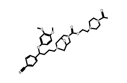 COc1ccc(OC(CCCN2CC3CN(C(=O)OCCN4CCN(C(C)=O)CC4)CC(C2)O3)c2ccc(C#N)cc2)cc1OC